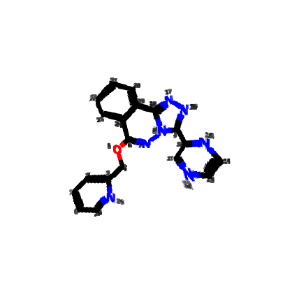 c1ccc(COc2nn3c(-c4cnccn4)nnc3c3ccccc23)nc1